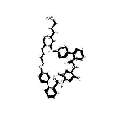 CCCCCCCCCCCCCCCCOc1ccc(-c2ccccc2C(=O)Nc2cc(Cl)c(NC(=O)c3ccccc3-c3ccc(OCCCCCCCCCCCCCCCC)cc3)cc2Cl)cc1